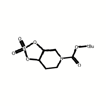 CC(C)(C)OC(=O)N1CCC2OS(=O)(=O)OC2C1